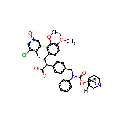 COc1ccc([C@@H](Cc2c(Cl)c[n+](O)cc2Cl)C(C(=O)[O-])c2ccc(CN(C(=O)O[C@H]3CN4CCC3CC4)c3ccccc3)cc2)cc1OC